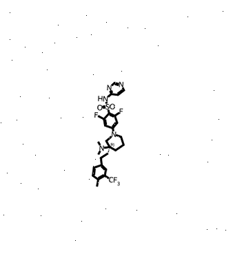 Cc1ccc(CC[C@@]2(N(C)C)CCCN(c3cc(F)c(S(=O)(=O)Nc4ccncn4)c(F)c3)C2)cc1C(F)(F)F